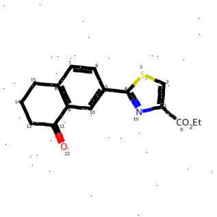 CCOC(=O)c1csc(-c2ccc3c(c2)C(=O)CCC3)n1